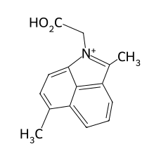 CC1=[N+](CC(=O)O)c2ccc(C)c3cccc1c23